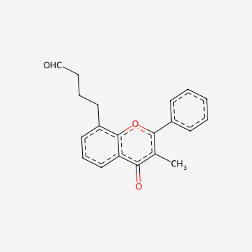 Cc1c(-c2ccccc2)oc2c(CCCC=O)cccc2c1=O